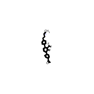 C/C=C/CCc1ccc(-c2ccc(-c3ccc(C4CO4)cc3)c(F)c2C(F)F)cc1